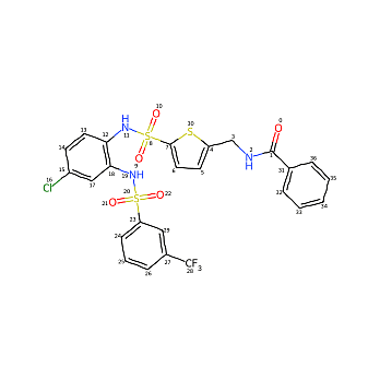 O=C(NCc1ccc(S(=O)(=O)Nc2ccc(Cl)cc2NS(=O)(=O)c2cccc(C(F)(F)F)c2)s1)c1ccccc1